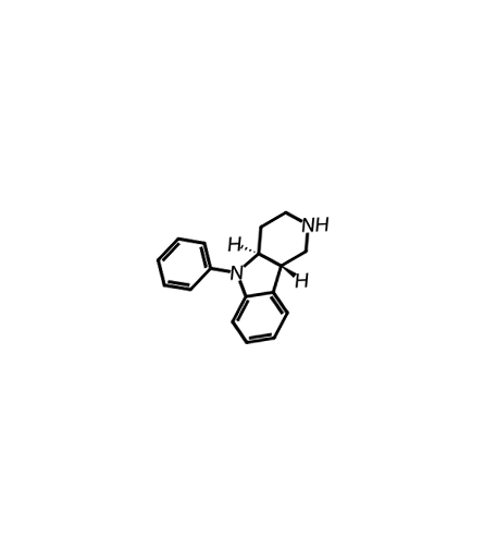 c1ccc(N2c3ccccc3[C@H]3CNCC[C@@H]32)cc1